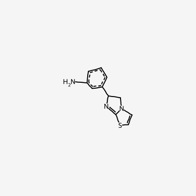 Nc1cccc(C2CN3C=CSC3=N2)c1